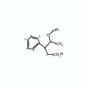 CCCOC(C)C(CC(=O)O)c1ccccc1